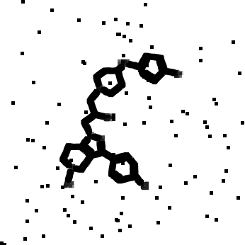 CC(=O)N1CCc2c(c(-c3ccc(Cl)cc3)nn2CC(O)CN2CCC(Nc3ccc(Br)cc3)CC2)C1